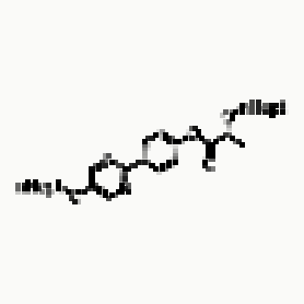 CCCCCCCOc1cnc(-c2ccc(OC(=O)C(C)OCCCCCCC)cc2)nc1